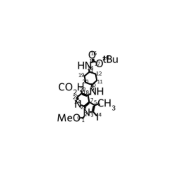 COCn1c(I)c(C)c2c(NC3CCC(NC(=O)OC(C)(C)C)CC3)c(C(=O)O)cnc21